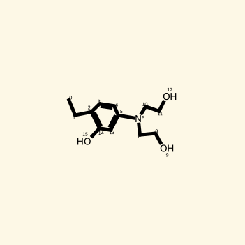 CCc1ccc(N(CCO)CCO)cc1O